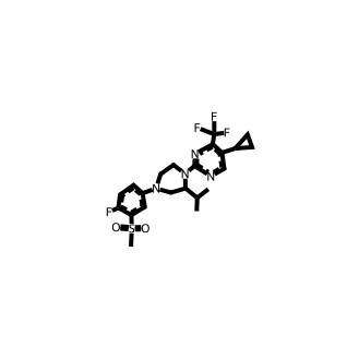 CC(C)C1CN(c2ccc(F)c(S(C)(=O)=O)c2)CCN1c1ncc(C2CC2)c(C(F)(F)F)n1